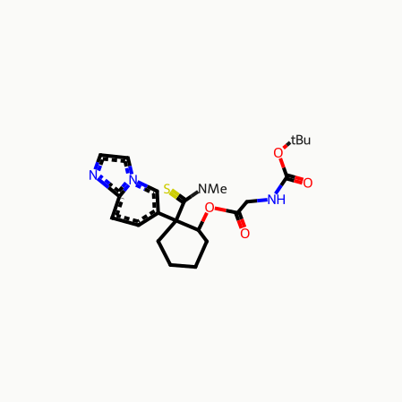 CNC(=S)C1(c2ccc3nccn3c2)CCCCC1OC(=O)CNC(=O)OC(C)(C)C